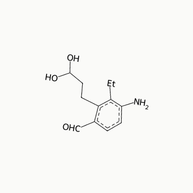 CCc1c(N)ccc(C=O)c1CCC(O)O